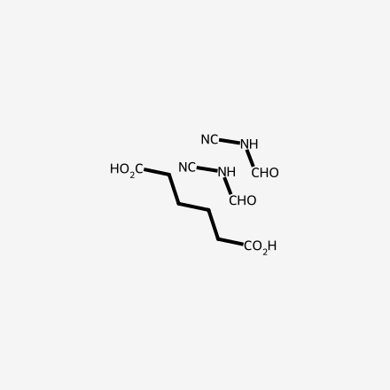 N#CNC=O.N#CNC=O.O=C(O)CCCCC(=O)O